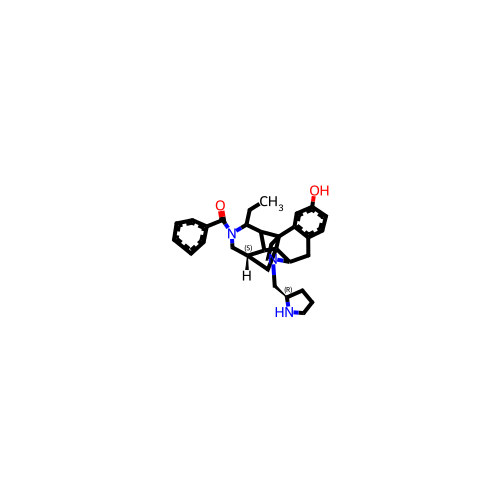 CCC1C2C3[C@@H](CN1C(=O)c1ccccc1)CC31C3Cc4ccc(O)cc4C21CCN3C[C@H]1CCCN1